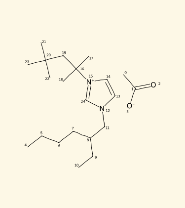 CC(=O)[O-].CCCCC(CC)Cn1cc[n+](C(C)(C)CC(C)(C)C)c1